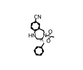 CS(=O)(=O)N1Cc2cc(C#N)ccc2NC[C@H]1Cc1ccccc1